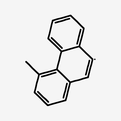 Cc1cccc2c[c]c3ccccc3c12